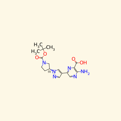 CC(C)(C)OC(=O)N1CC[C@H](n2cc(-c3cnc(N)c(C(=O)O)n3)cn2)C1